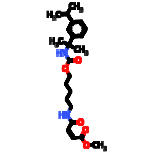 C=C(C)c1cccc(C(C)(C)NC(=O)OCCCCCNC(=O)/C=C\C(=O)OC)c1